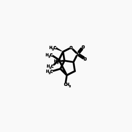 CC1C2(C)CC3C1(C)[C@](C)(OS3(=O)=O)C2(C)C